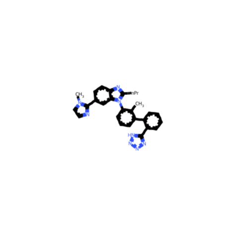 CCCc1nc2ccc(-c3nccn3C)cc2n1-c1cccc(-c2ccccc2-c2nnn[nH]2)c1C